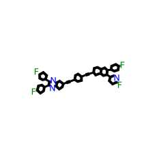 Fc1ccc(-c2cc3ccc(C#Cc4ccc(C#Cc5ccc6nc(-c7ccc(F)cc7)c(-c7ccc(F)cc7)nc6c5)cc4)cc3cc2-c2ccc(F)nc2)cc1